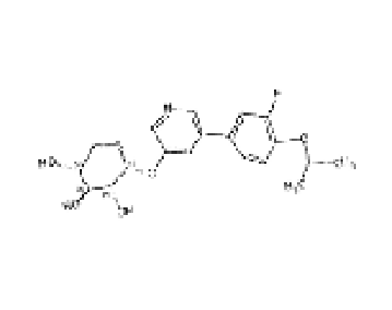 CC(C)Oc1ccc(-c2cncc(O[C@H]3SC[C@@H](O)[C@H](O)[C@H]3O)c2)cc1F